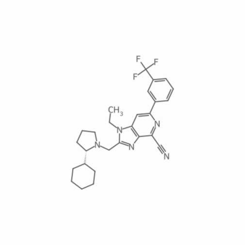 CCn1c(CN2CCC[C@H]2C2CCCCC2)nc2c(C#N)nc(-c3cccc(C(F)(F)F)c3)cc21